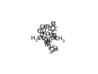 CC(=O)OCC1O[C@H](Sc2ccc(Cl)c(Cl)c2)C(OC(C)=O)C(n2cc(-c3cccc(F)c3)nn2)[C@H]1OC(C)=O